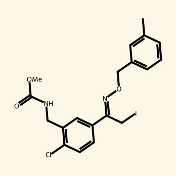 COC(=O)NCc1cc(C(CI)=NOCc2cccc(C)c2)ccc1Cl